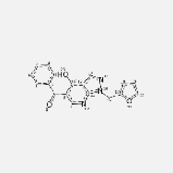 O=C(c1ccccc1)c1cnc2c(cnn2Cc2ccco2)c1O